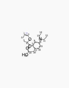 C/C=C\OC(C)Oc1cc(N(CC)CC)ccc1CC(=O)O